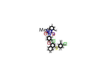 COc1cccc(C)c1C(=O)N(C(N)=O)c1ccc(Oc2ccc(Sc3ccc(Cl)c(C)c3)c3c2CCCC3)c(Cl)c1